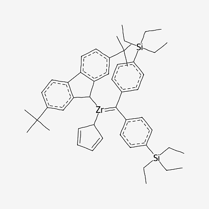 CC[Si](CC)(CC)c1ccc([C](c2ccc([Si](CC)(CC)CC)cc2)=[Zr]([CH]2C=CC=C2)[CH]2c3cc(C(C)(C)C)ccc3-c3ccc(C(C)(C)C)cc32)cc1